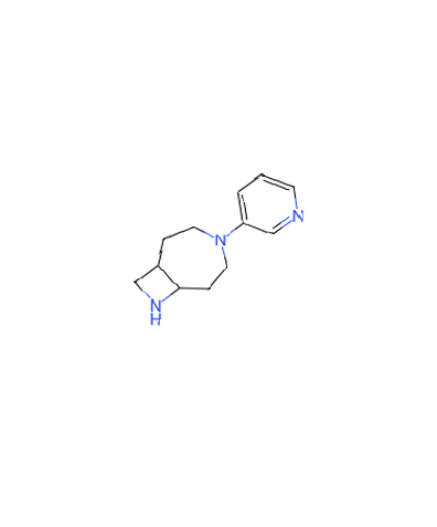 c1cncc(N2CCC3CNC3CC2)c1